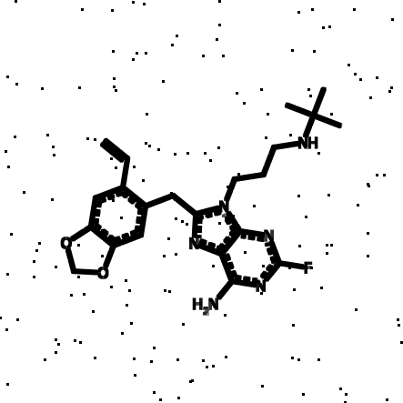 C=Cc1cc2c(cc1Cc1nc3c(N)nc(F)nc3n1CCCNC(C)(C)C)OCO2